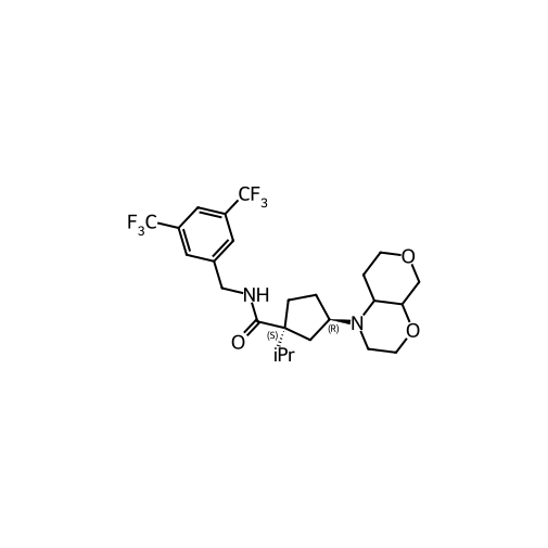 CC(C)[C@]1(C(=O)NCc2cc(C(F)(F)F)cc(C(F)(F)F)c2)CC[C@@H](N2CCOC3COCCC32)C1